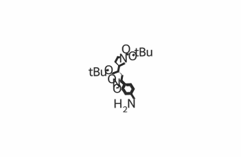 CC(C)(C)OC(=O)[C@@H](Cc1noc2cc(CN)ccc12)[C@H]1CCN(C(=O)OC(C)(C)C)C1